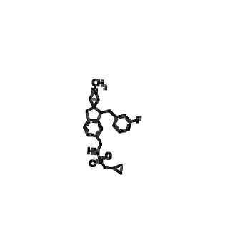 CN1C2C1C21Cc2ccc(CNS(=O)(=O)CC3CC3)cc2C1Cc1cccc(F)c1